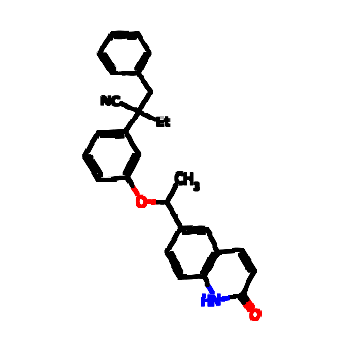 CCC(C#N)(Cc1ccccc1)c1cccc(OC(C)c2ccc3[nH]c(=O)ccc3c2)c1